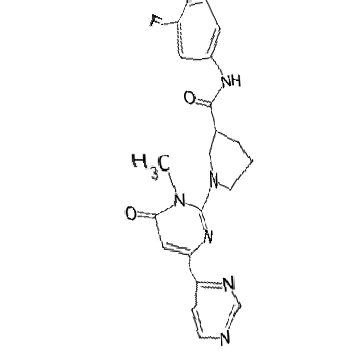 Cn1c(N2CCCC(C(=O)Nc3cccc(F)c3)C2)nc(-c2ccncn2)cc1=O